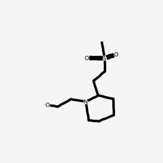 CS(=O)(=O)CCC1CCCCN1CC[O]